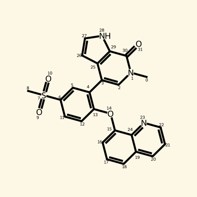 Cn1cc(-c2cc(S(C)(=O)=O)ccc2Oc2cccc3cccnc23)c2cc[nH]c2c1=O